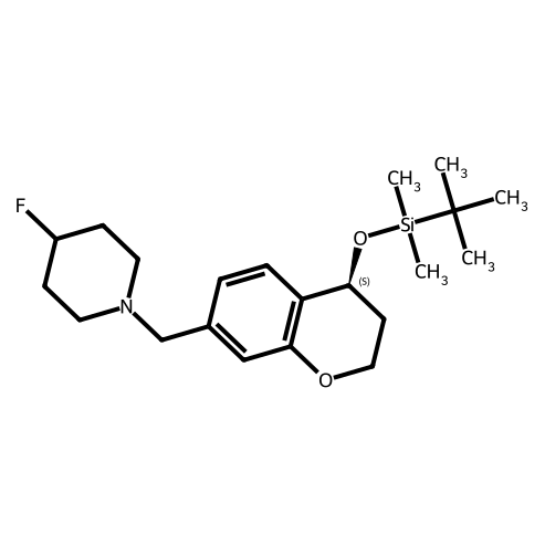 CC(C)(C)[Si](C)(C)O[C@H]1CCOc2cc(CN3CCC(F)CC3)ccc21